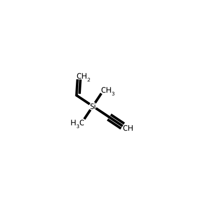 C#C[Si](C)(C)C=C